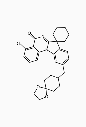 O=c1nc2n(c3cccc(Cl)c13)-c1cc(CC3CCC4(CC3)OCCO4)ccc1C21CCCCC1